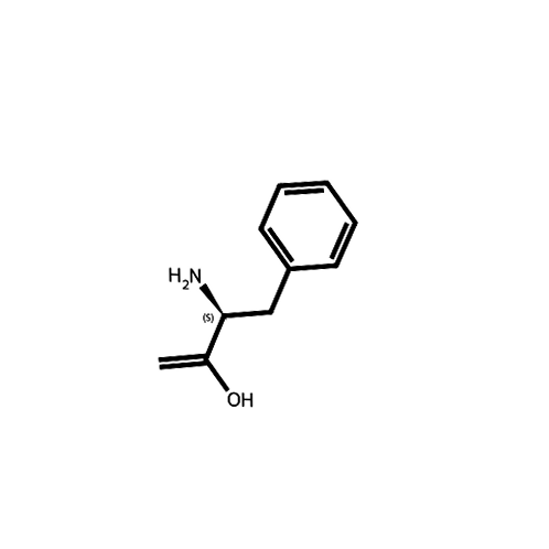 C=C(O)[C@@H](N)Cc1ccccc1